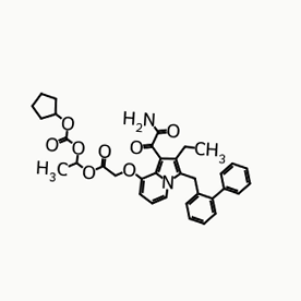 CCc1c(C(=O)C(N)=O)c2c(OCC(=O)OC(C)OC(=O)OC3CCCC3)cccn2c1Cc1ccccc1-c1ccccc1